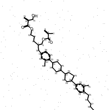 C=C(C)C(=O)OCC(CCCOC(=O)C(=C)CO)Cc1ccc(C2CCC(C3CCC(c4ccc(CCCCC)c(C)c4)CC3)CC2)c(C)c1